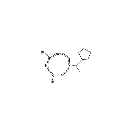 CC(c1cccc(Br)ncc(Br)cc1)C1CCCC1